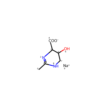 CC1=NC(C(=O)[O-])C(O)CN1.[Na+]